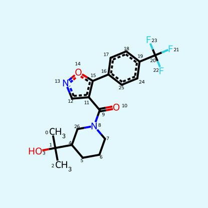 CC(C)(O)C1CCCN(C(=O)c2cnoc2-c2ccc(C(F)(F)F)cc2)C1